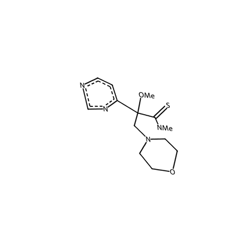 CNC(=S)C(CN1CCOCC1)(OC)c1ccncn1